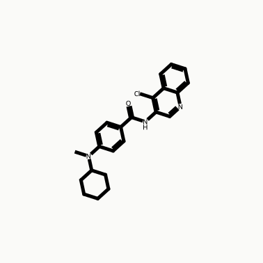 CN(c1ccc(C(=O)Nc2cnc3ccccc3c2Cl)cc1)C1CCCCC1